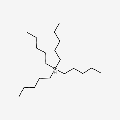 CCCC[CH2][SbH]([CH2]CCCC)([CH2]CCCC)[CH2]CCCC